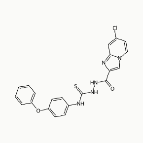 O=C(NNC(=S)Nc1ccc(Oc2ccccc2)cc1)c1cn2ccc(Cl)cc2n1